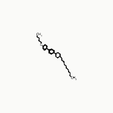 CCCCCCCCCCCC1CCC(c2ccc(-c3ccc(OCCCCC)cc3)cc2)CC1